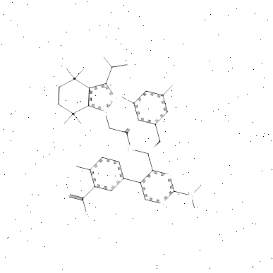 CN(C)c1ncc(-c2ccc(F)c(C(N)=O)c2)c([C@H](Cc2cc(F)cc(F)c2)NC(=O)Cn2nc(C(F)F)c3c2C(F)(F)CCC3(F)F)n1